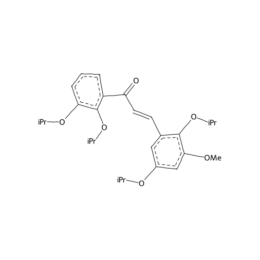 COc1cc(OC(C)C)cc(/C=C/C(=O)c2cccc(OC(C)C)c2OC(C)C)c1OC(C)C